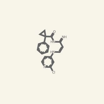 N=C(/C=C\Nc1ccnc(Cl)c1)NC(=O)C1(c2ccccc2)CC1